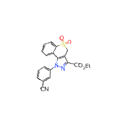 CCOC(=O)c1nn(-c2cccc(C#N)c2)c2c1CS(=O)(=O)c1ccccc1-2